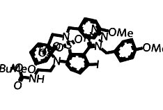 COc1ccc(CN(Cc2ccc(OC)cc2)S(=O)(=O)c2c(N(CCNC(=O)OC(C)(C)C)[SH](=O)=O)ccc(I)c2-c2nnnn2Cc2ccc(OC)cc2)cc1